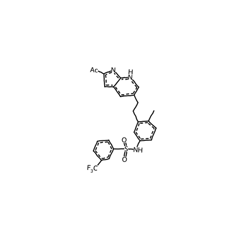 CC(=O)c1cc2cc(CCc3cc(NS(=O)(=O)c4cccc(C(F)(F)F)c4)ccc3C)c[nH]c-2n1